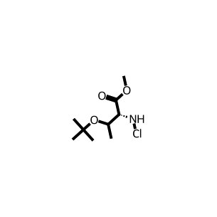 COC(=O)[C@H](NCl)C(C)OC(C)(C)C